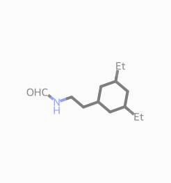 CCC1CC(CC)CC(CCNC=O)C1